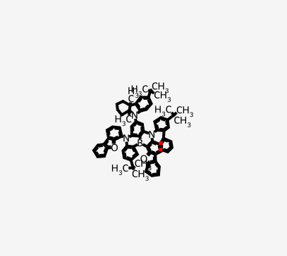 CC(C)(C)c1ccc2c(c1)B1c3c(cc(N4c5ccc(C(C)(C)C)cc5C5(C)CCCCC45C)cc3N2c2cccc3c2oc2ccccc23)N(c2ccc(C(C)(C)C)cc2-c2ccccc2)c2ccc3c(oc4ccccc43)c21